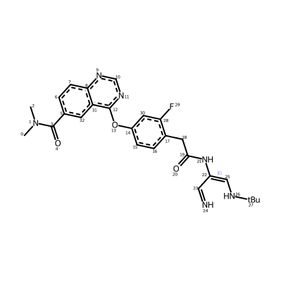 CN(C)C(=O)c1ccc2ncnc(Oc3ccc(CC(=O)N/C(C=N)=C/NC(C)(C)C)c(F)c3)c2c1